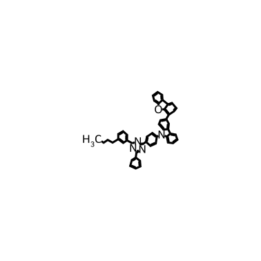 CCCCc1cccc(-c2nc(-c3ccccc3)nc(-c3ccc(-n4c5ccccc5c5cc(-c6cccc7c6oc6ccccc67)ccc54)cc3)n2)c1